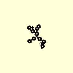 CC1(C)c2ccccc2-c2ccc(-c3cc(N(c4ccc(-c5ccccc5)cc4)c4ccc(-c5cccc6c5oc5ccccc56)cc4)ccc3-c3ccc4ccccc4c3)cc21